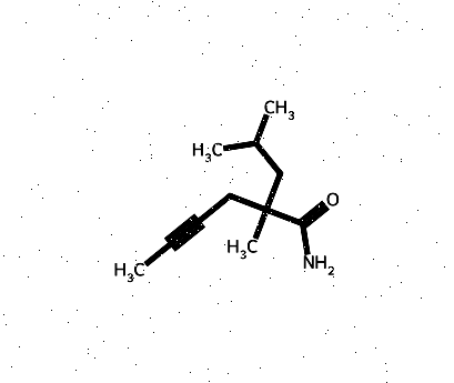 CC#CCC(C)(CC(C)C)C(N)=O